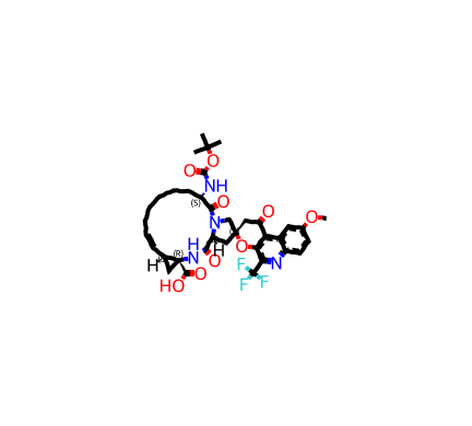 COc1ccc2nc(C(F)(F)F)c3c(c2c1)C(=O)C[C@]1(C[C@H]2C(=O)N[C@]4(C(=O)O)C[C@H]4C=CCCCCC[C@H](NC(=O)OC(C)(C)C)C(=O)N2C1)O3